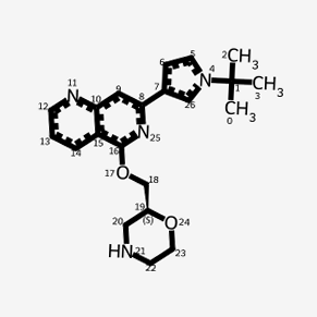 CC(C)(C)n1ccc(-c2cc3ncccc3c(OC[C@@H]3CNCCO3)n2)c1